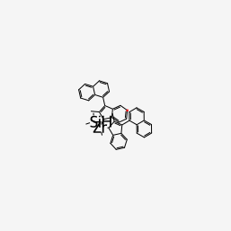 CC1=C(c2cccc3ccccc23)c2ccccc2[CH]1[Zr]([CH3])([CH3])([CH]1C(C)=C(c2cccc3ccccc23)c2ccccc21)[SiH](C)C